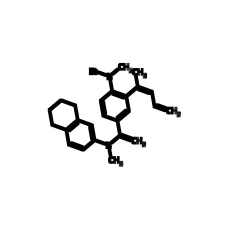 C=C/C=C(/C)c1cc(C(=C)N(C)c2ccc3c(c2)CCCC3)ccc1N(C)CC